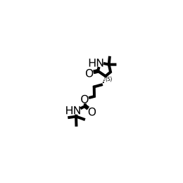 CC(C)(C)NC(=O)OCCC[C@H]1CC(C)(C)NC1=O